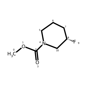 COC(=O)N1CCC[C@H](F)C1